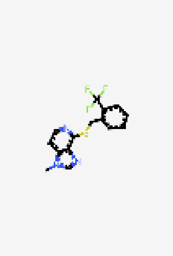 Cn1cnc2c(SCc3ccccc3C(F)(F)F)nccc21